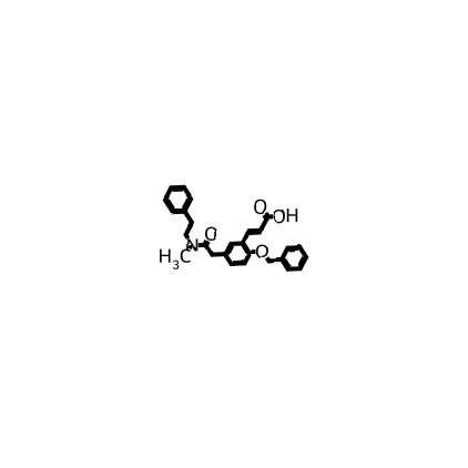 CN(CCc1ccccc1)C(=O)Cc1ccc(OCc2ccccc2)c(/C=C/C(=O)O)c1